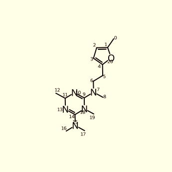 Cc1ccc(CCN(C)C2=NC(C)N=C(N(C)C)N2C)o1